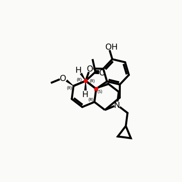 CO[C@]12C=C[C@@]3(C[C@H]1C(C)=O)C1Cc4ccc(O)c5c4[C@@]3(CCN1CC1CC1)[C@H]2O5